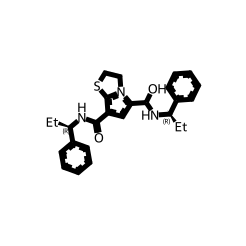 CC[C@@H](NC(=O)c1cc(C(O)N[C@H](CC)c2ccccc2)n2c1SCC2)c1ccccc1